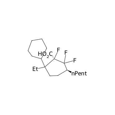 CCCCC[C@H]1CCC(CC)(C2CCCCC2)[C@](F)(C(=O)O)C1(F)F